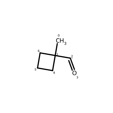 CC1([C]=O)CCC1